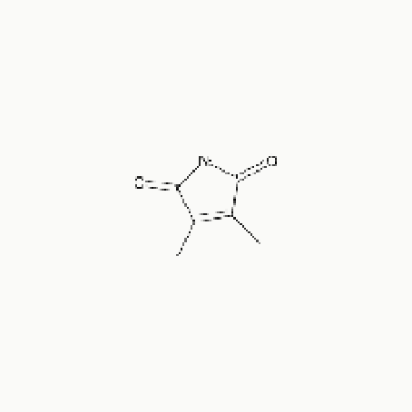 CC1=C(C)C(=O)[N]C1=O